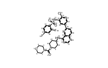 O=C(N1CCOCC1)N1CCC(Nc2ncnc3ccc(-c4cnc(Cl)c(NS(=O)(=O)c5ccc(F)cc5F)c4)nc23)CC1